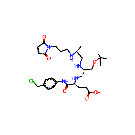 C[C@@H](CN[C@@H](CN[C@@H](CCC(=O)O)C(=O)Nc1ccc(CCl)cc1)COC(C)(C)C)NCCCN1C(=O)C=CC1=O